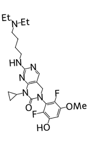 CCN(CC)CCCCNc1ncc2c(n1)N(C1CC1)C(=O)N(c1c(F)c(O)cc(OC)c1F)C2